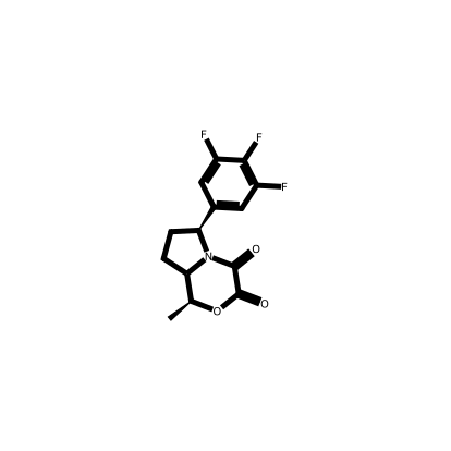 C[C@@H]1OC(=O)C(=O)N2C1CC[C@H]2c1cc(F)c(F)c(F)c1